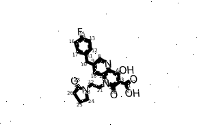 O=C(O)c1c(O)c2ncc(Cc3ccc(F)cc3)cc2n(CCN2CCCC2=O)c1=O